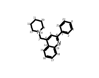 c1ccc(-c2cc(CN3CCCCC3)c3ccccc3n2)cc1